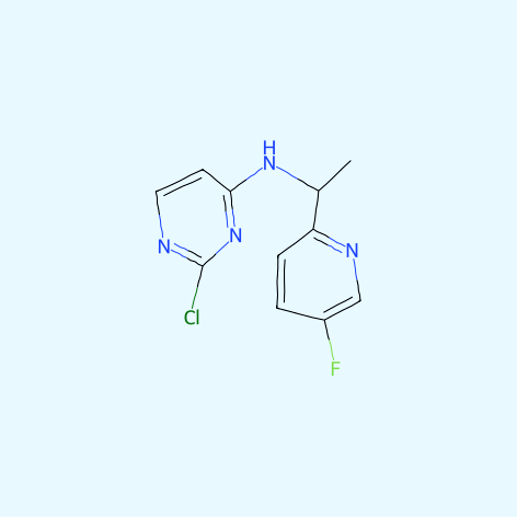 CC(Nc1ccnc(Cl)n1)c1ccc(F)cn1